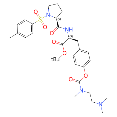 Cc1ccc(S(=O)(=O)N2CCC[C@H]2C(=O)N[C@@H](Cc2ccc(OC(=O)N(C)CCN(C)C)cc2)C(=O)OC(C)(C)C)cc1